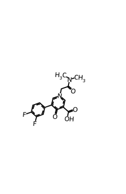 CN(C)C(=O)Cn1cc(C(=O)O)c(=O)c(-c2ccc(F)c(F)c2)c1